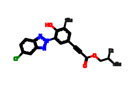 CCCCC(CC)COC(=O)C#Cc1cc(-n2nc3ccc(Cl)cc3n2)c(O)c(C(C)(C)C)c1